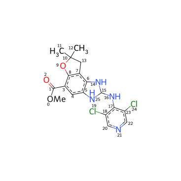 COC(=O)c1cc2c(c3c1OC(C)(C)C3)NC(Nc1c(Cl)cncc1Cl)N2